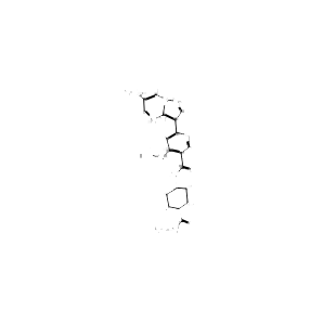 CNC(=O)[C@H]1CC[C@H](NC(=O)c2cnc(-c3cnn4cc(C#N)cnc34)cc2NC(C)C)CC1